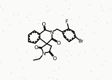 CCN1C(=O)CC2(C1=O)C(=O)N(Cc1ccc(Br)cc1F)C(=O)c1ccccc12